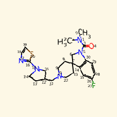 CN(C)C(=O)N1CC2(CCN(CC3CCN(c4nccs4)C3)CC2)c2cc(F)ccc21